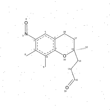 Cc1c(N=O)cc2c(c1C)O[C@](C)(CCC=O)CC2